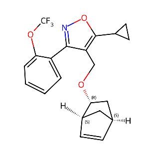 FC(F)(F)Oc1ccccc1-c1noc(C2CC2)c1CO[C@@H]1C[C@H]2C=C[C@@H]1C2